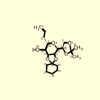 C=CC[C@@H]1O[C@@H]([C@H]2COC(C)(C)O2)C2OC3(CCCCC3)OC2C1O